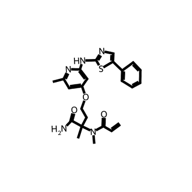 C=CC(=O)N(C)C(C)(CCOc1cc(C)nc(Nc2ncc(-c3ccccc3)s2)c1)C(N)=O